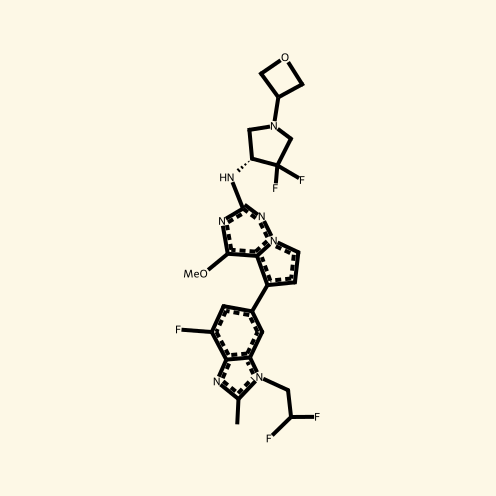 COc1nc(N[C@@H]2CN(C3COC3)CC2(F)F)nn2ccc(-c3cc(F)c4nc(C)n(CC(F)F)c4c3)c12